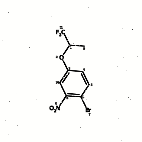 CC(Oc1ccc(Br)c([N+](=O)[O-])c1)C(F)(F)F